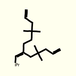 C=CCC(C)(C)CCC(=CC(C)C)CC(C)(C)CC=C